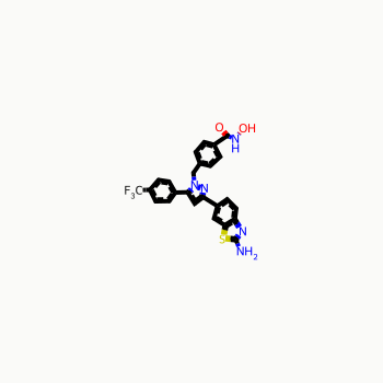 Nc1nc2ccc(-c3cc(-c4ccc(C(F)(F)F)cc4)n(Cc4ccc(C(=O)NO)cc4)n3)cc2s1